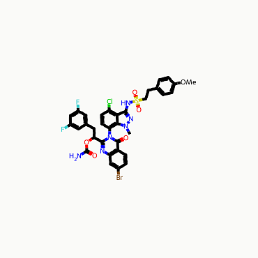 COc1ccc(CCS(=O)(=O)Nc2nn(C)c3c(-n4c(C(Cc5cc(F)cc(F)c5)OC(N)=O)nc5cc(Br)ccc5c4=O)ccc(Cl)c23)cc1